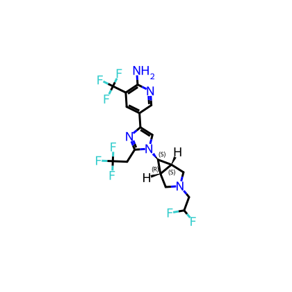 Nc1ncc(-c2cn([C@H]3[C@@H]4CN(CC(F)F)C[C@@H]43)c(CC(F)(F)F)n2)cc1C(F)(F)F